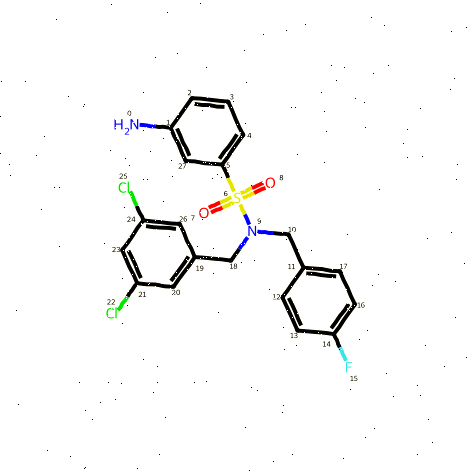 Nc1cccc(S(=O)(=O)N(Cc2ccc(F)cc2)Cc2cc(Cl)cc(Cl)c2)c1